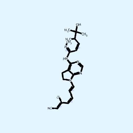 C/N=C(\C=C/C(C)C(C)(C)O)Nc1ncnc2c1CCN2/C=C/C=C\C(Cl)=C\C#N